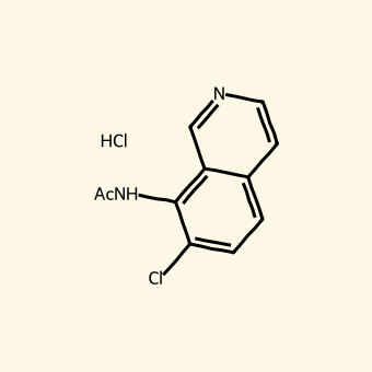 CC(=O)Nc1c(Cl)ccc2ccncc12.Cl